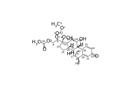 COC(=O)O[C@]1(C(=O)COC(C)=O)CC[C@H]2[C@@H]3C[C@H](F)C4=CC(=O)C=C[C@]4(C)[C@H]3C(O)C[C@@]21C